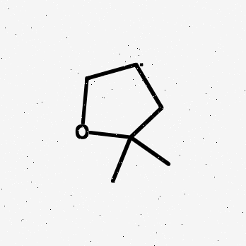 CC1(C)C[CH]CO1